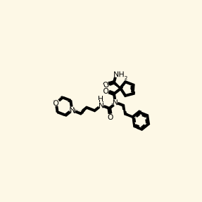 NC(=O)C1(C(=O)N(CCc2ccccc2)C(=O)NCCCN2CCOCC2)CC=CC1